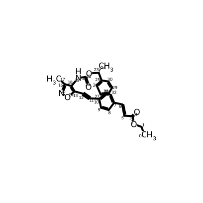 CCOC(=O)/C=C/c1ccc(C#Cc2onc(C)c2NC(=O)O[C@H](C)c2ccccc2)cc1